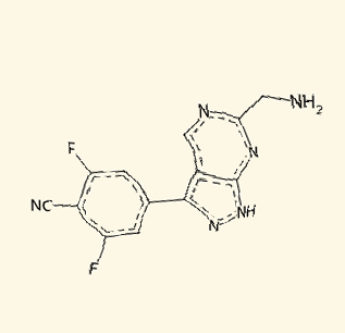 N#Cc1c(F)cc(-c2n[nH]c3nc(CN)ncc23)cc1F